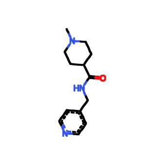 CN1CCC(C(=O)NCc2ccncc2)CC1